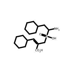 NC(CC1CCCCC1)P(=O)(O)CC(=CC1CCCCC1)C(=O)O